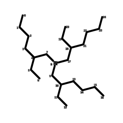 CCCCC(CC)[CH2][Bi]([CH2]C(CC)CCCC)[CH2]C(CC)CCCC